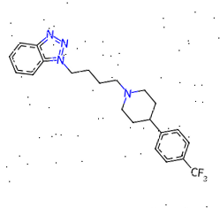 FC(F)(F)c1ccc(C2CCN(CCCCn3nnc4ccccc43)CC2)cc1